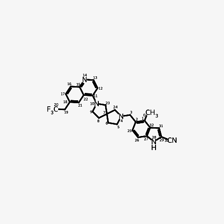 Cc1c(CN2CCC3(CCN(c4ccnc5ccc(CC(F)(F)F)cc45)C3)C2)ccc2[nH]c(C#N)cc12